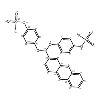 O=S(=O)(F)Oc1ccc(OC(Oc2ccc(OS(=O)(=O)F)cc2)c2ccc3cc4ccccc4cc3c2)cc1